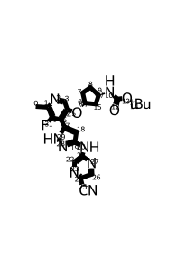 Cc1ncc(O[C@@H]2CC[C@H](NC(=O)OC(C)(C)C)C2)c(-c2cc(Nc3cnc(C#N)cn3)n[nH]2)c1F